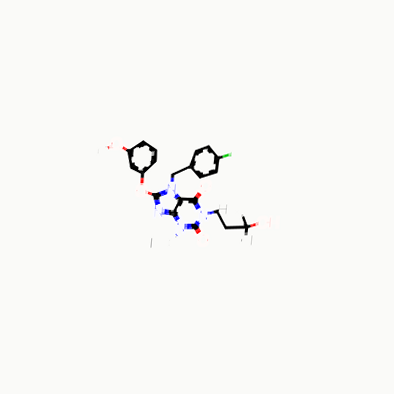 Cn1c(=O)n(CCC(C)(C)O)c(=O)c2c1nc(Oc1cccc(OC(F)(F)F)c1)n2Cc1ccc(Cl)cc1